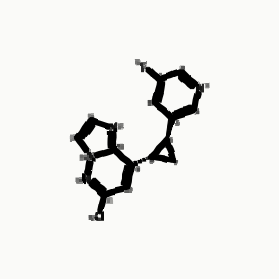 Fc1cncc([C@H]2C[C@@H]2c2cc(Cl)nn3ccnc23)c1